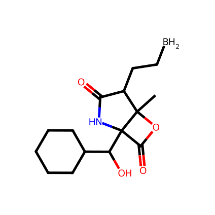 BCCC1C(=O)NC2(C(O)C3CCCCC3)C(=O)OC12C